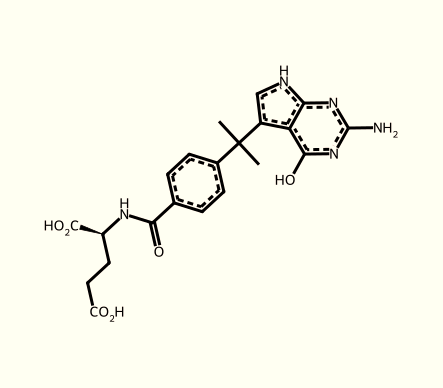 CC(C)(c1ccc(C(=O)N[C@@H](CCC(=O)O)C(=O)O)cc1)c1c[nH]c2nc(N)nc(O)c12